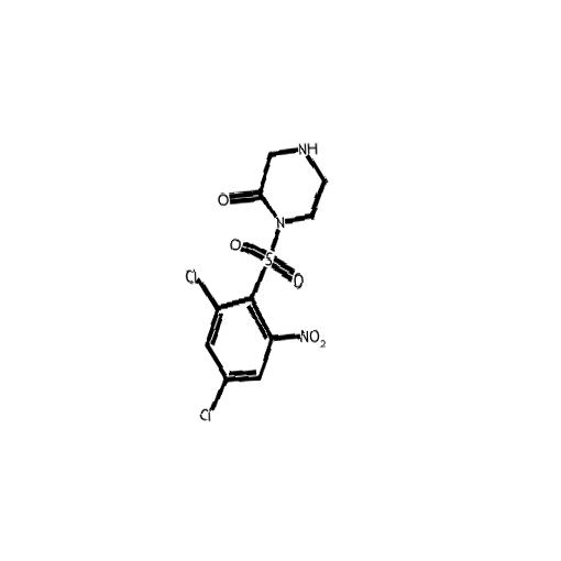 O=C1CNCCN1S(=O)(=O)c1c(Cl)cc(Cl)cc1[N+](=O)[O-]